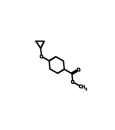 COC(=O)C1CCC(OC2CC2)CC1